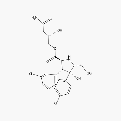 CC(C)(C)C[C@H]1N[C@H](C(=O)OC[C@@H](O)CC(N)=O)[C@@H](c2cccc(Cl)c2)[C@]1(C#N)c1ccc(Cl)cc1